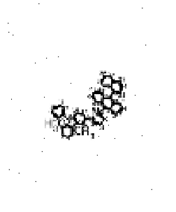 CC12CCCCC1(C)N(c1ccccc1)c1ccc(-c3cccc(-c4c5ccccc5c(-c5cccc6ccccc56)c5ccccc45)n3)cc12